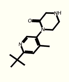 Cc1cc(C(C)(C)C)ncc1N1CCNCC1=O